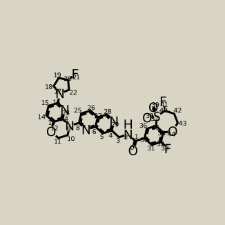 O=C(NCc1cc2nc(N3CCOc4ccc(N5CC[C@@H](F)C5)nc43)ccc2cn1)c1cc(F)c2c(c1)S(=O)(=O)[C@@H](F)CCO2